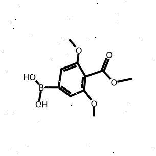 COC(=O)c1c(OC)cc(B(O)O)cc1OC